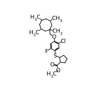 COC(=O)C1CCCC1Sc1cc(Cl)c(OCC2(C)C[C@H](C)CC(C)C[C@H](C)C2)cc1F